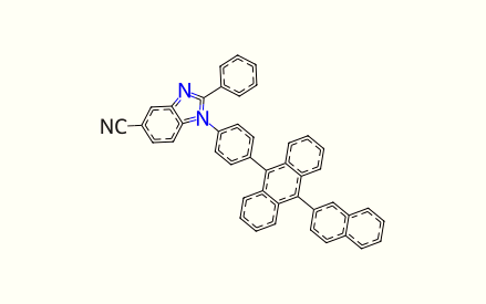 N#Cc1ccc2c(c1)nc(-c1ccccc1)n2-c1ccc(-c2c3ccccc3c(-c3ccc4ccccc4c3)c3ccccc23)cc1